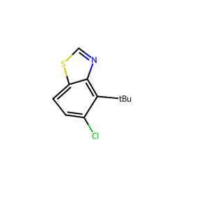 CC(C)(C)c1c(Cl)ccc2scnc12